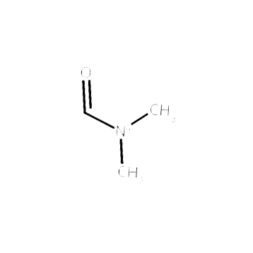 C[N+](C)[C]=O